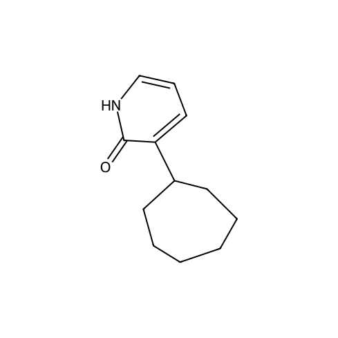 O=c1[nH]cccc1C1CCCCCC1